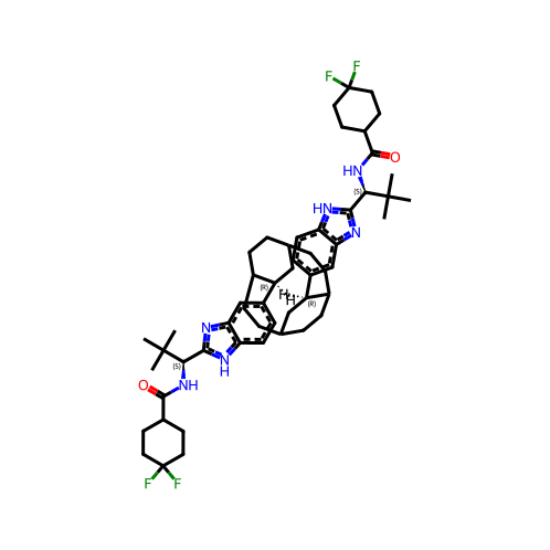 CC(C)(C)[C@H](NC(=O)C1CCC(F)(F)CC1)c1nc2cc([C@@H]3CC4CCC3CCC3CCC(CC4)[C@H](c4ccc5[nH]c([C@@H](NC(=O)C6CCC(F)(F)CC6)C(C)(C)C)nc5c4)C3)ccc2[nH]1